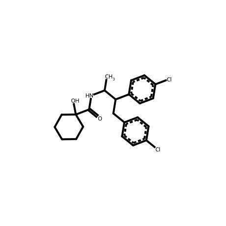 CC(NC(=O)C1(O)CCCCC1)C(Cc1ccc(Cl)cc1)c1ccc(Cl)cc1